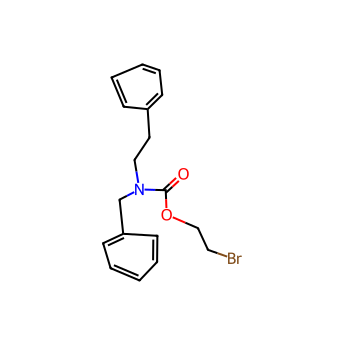 O=C(OCCBr)N(CCc1ccccc1)Cc1ccccc1